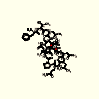 CC[C@H](C)[C@H](NC(=O)[C@@H](NC(=O)[C@H](CC(C)C)NC(=O)[C@@H](NC(=O)[C@@H](N)Cc1ccccc1)[C@@H](C)O)[C@@H](C)O)C(=O)N[C@@H](CO)C(=O)N[C@@H](CC(N)=O)C(=O)N[C@@H](CC(C)C)C(=O)N[C@@H](CCC(N)=O)C(=O)N1CCC[C@H]1C(=O)N[C@@H](CCC(=O)O)C(=O)N[C@@H](CC(=O)O)C(=O)O